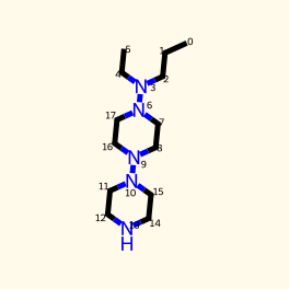 CCCN(CC)N1CCN(N2CCNCC2)CC1